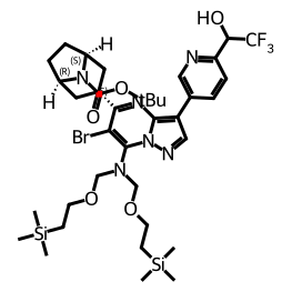 CC(C)(C)OC(=O)N1[C@@H]2CC[C@H]1C[C@H](c1nc3c(-c4ccc(C(O)C(F)(F)F)nc4)cnn3c(N(COCC[Si](C)(C)C)COCC[Si](C)(C)C)c1Br)C2